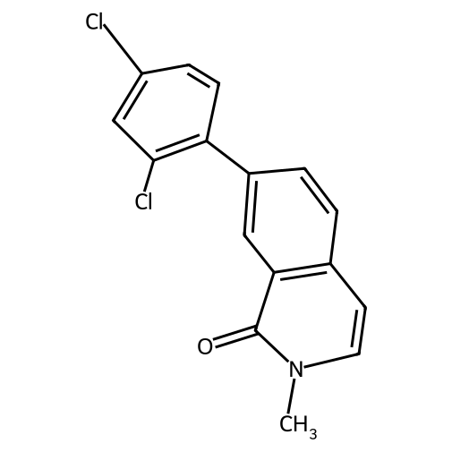 Cn1ccc2ccc(-c3ccc(Cl)cc3Cl)cc2c1=O